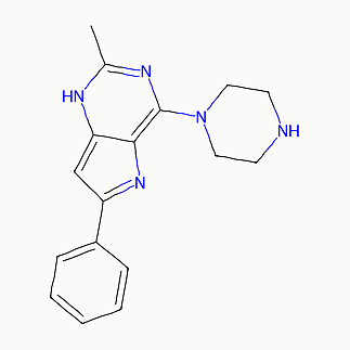 Cc1nc(N2CCNCC2)c2nc(-c3ccccc3)cc-2[nH]1